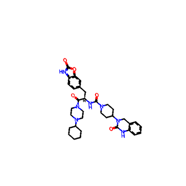 O=C(N[C@H](Cc1ccc2[nH]c(=O)oc2c1)C(=O)N1CCN(C2CCCCC2)CC1)N1CCC(N2Cc3ccccc3NC2=O)CC1